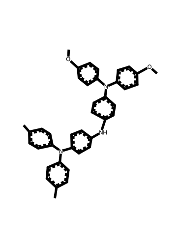 COc1ccc(N(c2ccc(Nc3ccc(N(c4ccc(C)cc4)c4ccc(C)cc4)cc3)cc2)c2ccc(OC)cc2)cc1